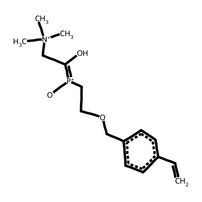 C=Cc1ccc(COCC/[P+]([O-])=C(\O)C[N+](C)(C)C)cc1